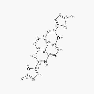 Cc1ccc(C2=Nc3ccc4c5c(ccc(c35)O2)N=C(c2ccc(C)o2)O4)o1